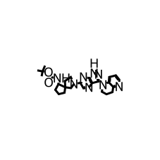 CC(C)(C)OC(=O)NC1CCCC12CCN(c1cnc3c(N4CCCc5ncccc54)n[nH]c3n1)C2